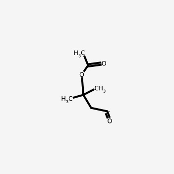 CC(=O)OC(C)(C)C[C]=O